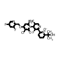 Cc1cnc(-c2cccc(C(C)(C)O)[n+]2[O-])c(F)c1-n1c(C)cc(OCc2ncc(F)cc2F)c(Cl)c1=O